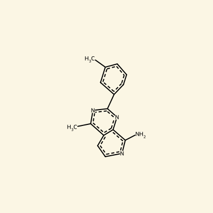 Cc1cccc(-c2nc(C)c3ccnc(N)c3n2)c1